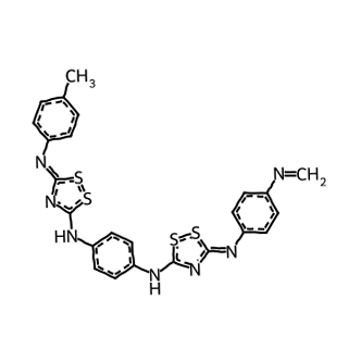 C=Nc1ccc(N=c2nc(Nc3ccc(Nc4nc(=Nc5ccc(C)cc5)ss4)cc3)ss2)cc1